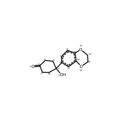 O=C1CCC(O)(c2ccc3c(c2)OCCO3)CC1